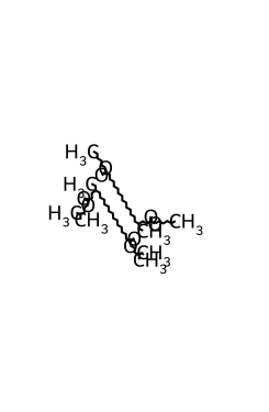 CCC(CCCCCCCCCCCCCCC(=O)OCCC(C)C)CCC(=O)OCCC(C)C.CCCCCOC(=O)CCCCCCCCCCCCCCC(CC)CCC(=O)OCCCCC